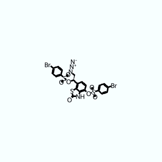 [N-]=[N+]=NC[C@H](OS(=O)(=O)c1ccc(Br)cc1)c1ccc(OS(=O)(=O)c2ccc(Br)cc2)c2[nH]c(=O)sc12